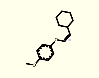 COc1ccc(O/C=C\C2CCCCC2)cc1